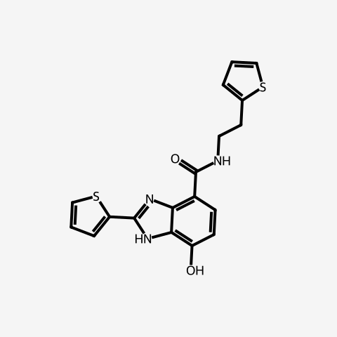 O=C(NCCc1cccs1)c1ccc(O)c2[nH]c(-c3cccs3)nc12